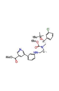 COC(=O)c1cncc(-c2cccc(NC[C@@H](C)N(C[C@H](O[Si](C)(C)C(C)(C)C)c3cccc(Cl)c3)C(=O)OC(C)(C)C)c2)c1